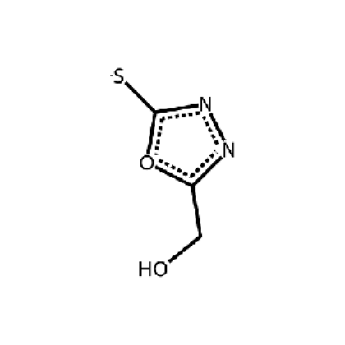 OCc1nnc([S])o1